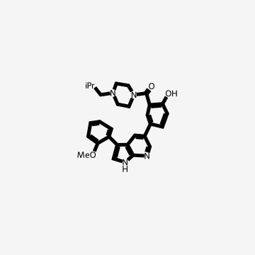 COc1ccccc1-c1c[nH]c2ncc(-c3ccc(O)c(C(=O)N4CCN(CC(C)C)CC4)c3)cc12